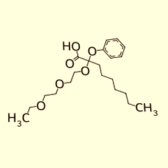 CCCCCCCC(OCCOCCOCC)(Oc1ccccc1)C(=O)O